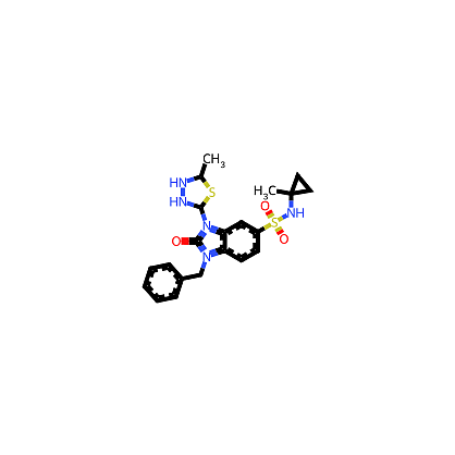 CC1NNC(n2c(=O)n(Cc3ccccc3)c3ccc(S(=O)(=O)NC4(C)CC4)cc32)S1